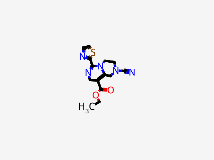 CCOC(=O)C1=C2CN(C#N)CCN2C(c2nccs2)=NC1